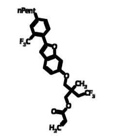 C=CC(=O)OCC(C)(COc1ccc2cc(-c3ccc(CCCCC)cc3C(F)(F)F)oc2c1)CC(F)(F)F